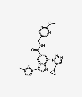 COc1ncc(CNC(=O)c2cc(-n3nncc3C3CC3)c3ncc(-c4ccc(C)s4)n3c2)cn1